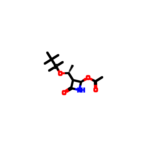 CC(=O)O[C@H]1NC(=O)C1[C@@H](C)O[Si](C)(C)C(C)(C)C